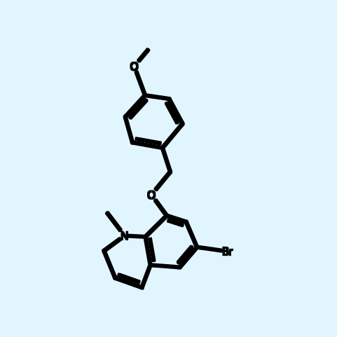 COc1ccc(COc2cc(Br)cc3c2N(C)CC=C3)cc1